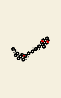 c1ccc(-c2c3ccccc3c(-c3ccc4c(c3)oc3cc5c(cc34)oc3cc(-c4ccc6c(c4)sc4c6ccc6c4oc4cccc(-c7c8ccccc8c(-c8ccc(-c9cc%10ccccc%10o9)c9ccccc89)c8ccccc78)c46)ccc35)c3ccccc23)c(-c2ccccc2-c2cccc3ccoc23)c1